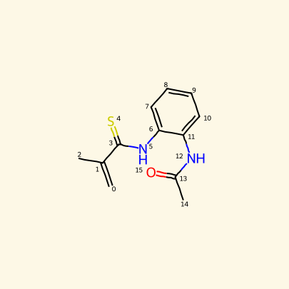 C=C(C)C(=S)Nc1ccccc1NC(C)=O